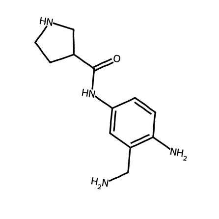 NCc1cc(NC(=O)C2CCNC2)ccc1N